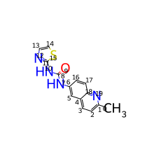 Cc1ccc2cc(NC(=O)Nc3nccs3)ccc2n1